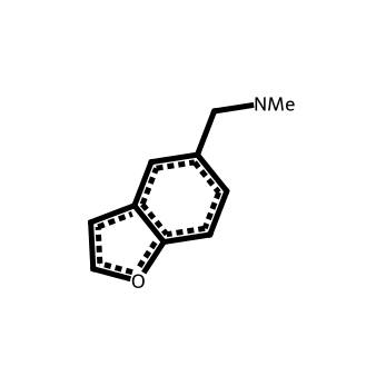 [CH2-][NH2+]Cc1ccc2occc2c1